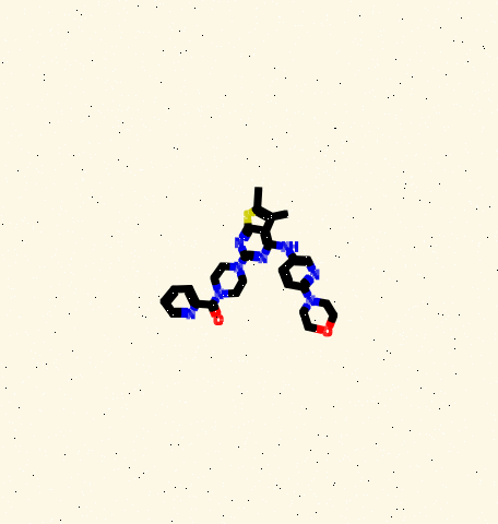 Cc1sc2nc(N3CCN(C(=O)c4ccccn4)CC3)nc(Nc3ccc(N4CCOCC4)nc3)c2c1C